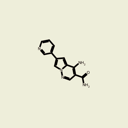 NC(=O)c1cnn2cc(-c3cccnc3)cc2c1N